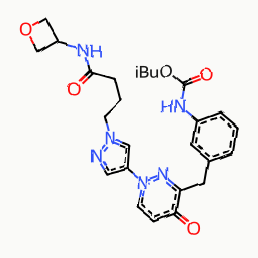 CC(C)COC(=O)Nc1cccc(Cc2nn(-c3cnn(CCCC(=O)NC4COC4)c3)ccc2=O)c1